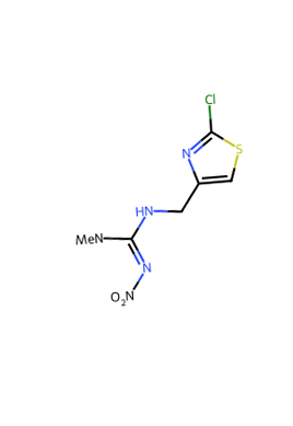 CNC(=N[N+](=O)[O-])NCc1csc(Cl)n1